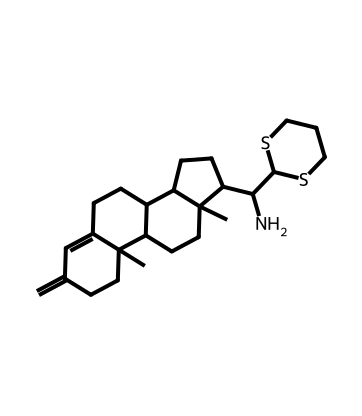 C=C1C=C2CCC3C(CCC4(C)C(C(N)C5SCCCS5)CCC34)C2(C)CC1